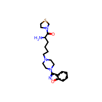 NC(CCCCN1CCN(c2noc3ccccc23)CC1)C(=O)N1CCSC1